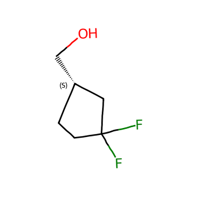 OC[C@H]1CCC(F)(F)C1